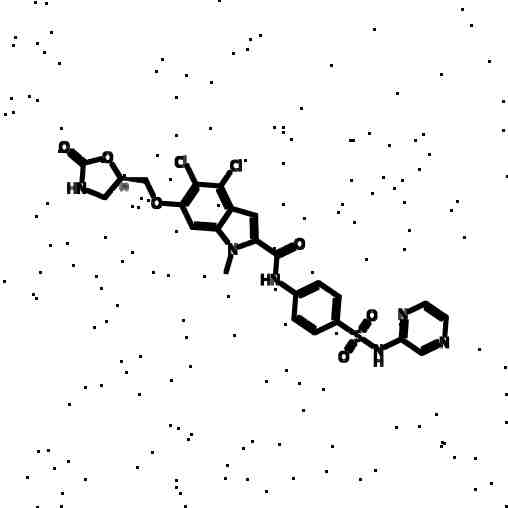 Cn1c(C(=O)Nc2ccc(S(=O)(=O)Nc3cnccn3)cc2)cc2c(Cl)c(Cl)c(OC[C@H]3CNC(=O)O3)cc21